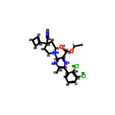 CCOC(=O)c1nc(-c2cccc(Cl)c2Cl)c(C)nc1N1CCC(C#N)(C2=CCC2)CC1